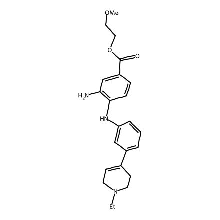 CCN1CC=C(c2cccc(Nc3ccc(C(=O)OCCOC)cc3N)c2)CC1